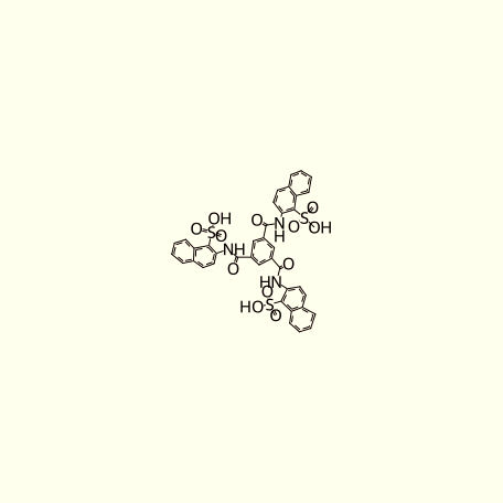 O=C(Nc1ccc2ccccc2c1S(=O)(=O)O)c1cc(C(=O)Nc2ccc3ccccc3c2S(=O)(=O)O)cc(C(=O)Nc2ccc3ccccc3c2S(=O)(=O)O)c1